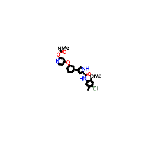 CNC(=O)Oc1cc(Oc2cccc(-c3c[nH]c(C(=O)Nc4cc(C)c(Cl)cc4OC)c3)c2)ccn1